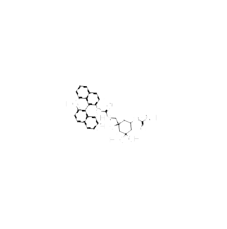 CC1(C)CC(OC(N)=O)CC(C)(CNC(=O)Oc2ccc3ccccc3c2-c2c(O)ccc3ccccc23)C1